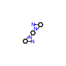 N#Cc1ccccc1/C=N/c1ccc(/N=C/c2ccccc2C#N)cc1